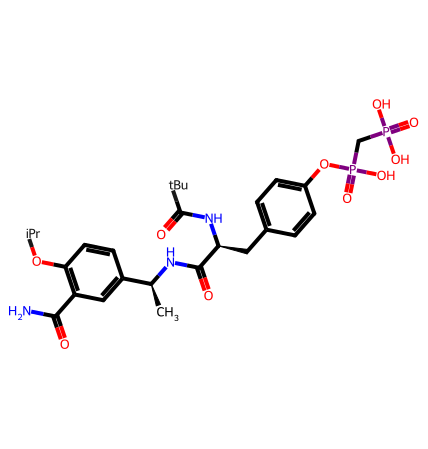 CC(C)Oc1ccc([C@H](C)NC(=O)[C@H](Cc2ccc(OP(=O)(O)CP(=O)(O)O)cc2)NC(=O)C(C)(C)C)cc1C(N)=O